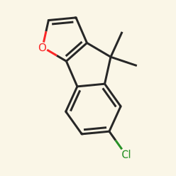 CC1(C)c2cc(Cl)ccc2-c2occc21